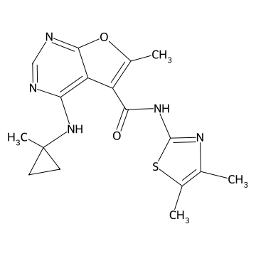 Cc1nc(NC(=O)c2c(C)oc3ncnc(NC4(C)CC4)c23)sc1C